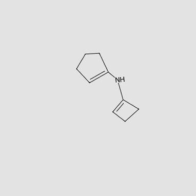 C1=C(NC2=CCCC2)CC1